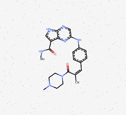 CN1CCN(C(=O)C(C#N)=Cc2ccc(Nc3cnc4[nH]cc(C(=O)NC(C)(C)C)c4n3)cc2)CC1